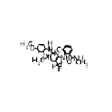 CNC(=O)c1cccc(C)c1Nc1nc(Nc2ccc(OC)cc2OC)ncc1C(F)(F)F